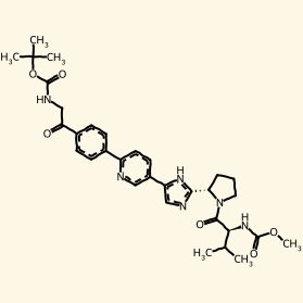 COC(=O)N[C@H](C(=O)N1CCC[C@H]1c1ncc(-c2ccc(-c3ccc(C(=O)CNC(=O)OC(C)(C)C)cc3)nc2)[nH]1)C(C)C